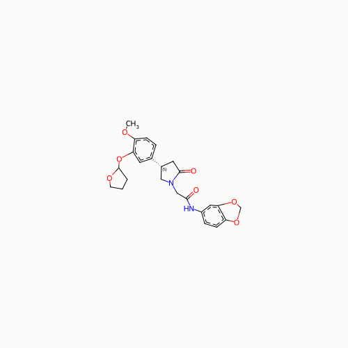 COc1ccc([C@@H]2CC(=O)N(CC(=O)Nc3ccc4c(c3)OCO4)C2)cc1OC1CCCO1